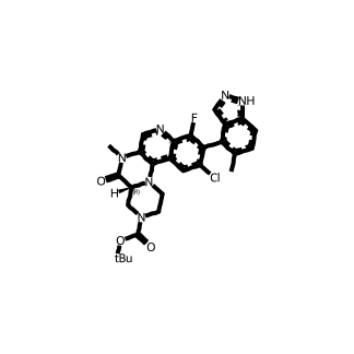 Cc1ccc2[nH]ncc2c1-c1c(Cl)cc2c3c(cnc2c1F)N(C)C(=O)[C@H]1CN(C(=O)OC(C)(C)C)CCN31